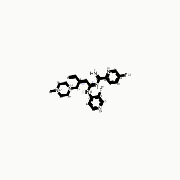 C=C/C(=C/C(=N\C(=N)c1ccc(F)cn1)Nc1ccncc1F)CN1CCN(C)CC1